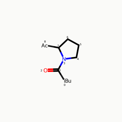 CCC(C)C(=O)N1CCCC1C(C)=O